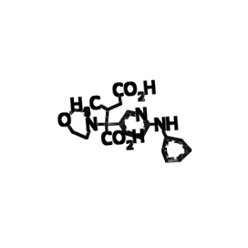 CC(CC(=O)O)C(C(=O)O)(c1ccc(Nc2ccccc2)nc1)N1CCOCC1